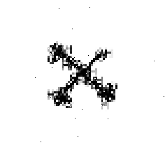 CC(=O)NC1C(OC(C)=O)CC(COC(C)=O)OC1OCCOCCOCCNC(=O)CCOCC(COCCC(=O)NCCOCCOCCOC1OC(COC(C)=O)C(OC(C)=O)C(OC(C)=O)C1NC(C)=O)(COCCC(=O)NCCOCCOCCOC1OC(COC(C)=O)C(OC(C)=O)C(OC(C)=O)C1NC(C)=O)NC(=O)CCCCCCCCCCC(=O)O